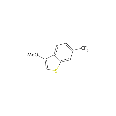 COc1[c]sc2cc(C(F)(F)F)ccc12